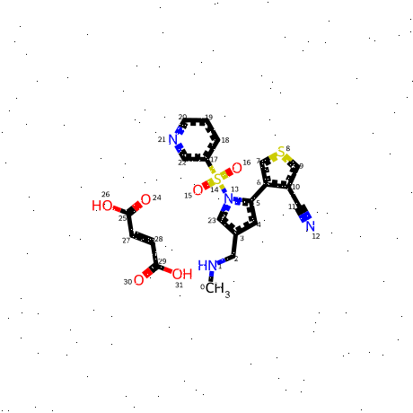 CNCc1cc(-c2cscc2C#N)n(S(=O)(=O)c2cccnc2)c1.O=C(O)C=CC(=O)O